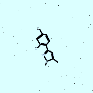 Cc1cc(-c2ccc(Cl)cc2Cl)nn1C